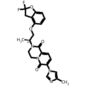 Cc1cn(-c2ccc3n(c2=O)CCN([C@@H](C)COc2cccc4c2CC(F)(F)O4)C3=O)cn1